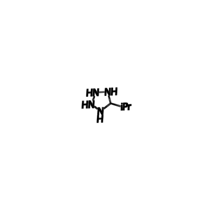 CC(C)C1NNNN1